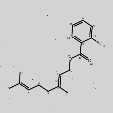 CC(C)=CCC/C(C)=C/COC(=O)c1ncccc1F